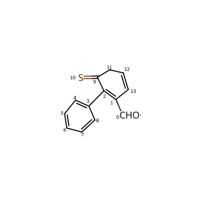 O=[C]C1=C(c2ccccc2)C(=S)CC=C1